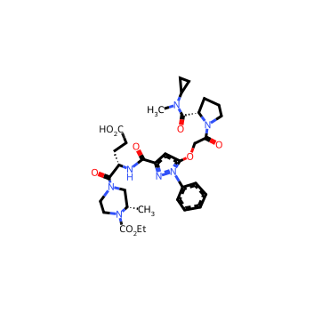 CCOC(=O)N1CCN(C(=O)[C@H](CCC(=O)O)NC(=O)c2cc(OCC(=O)N3CCC[C@H]3C(=O)N(C)C3CC3)n(-c3ccccc3)n2)C[C@@H]1C